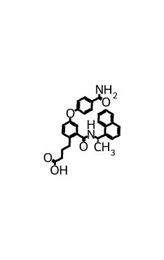 C[C@@H](NC(=O)c1cc(Oc2ccc(C(N)=O)cc2)ccc1CCCC(=O)O)c1cccc2ccccc12